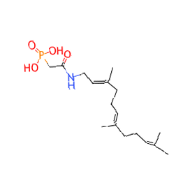 CC(C)=CCCC(C)=CCCC(C)=CCNC(=O)CP(=O)(O)O